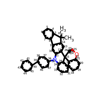 CC1(C)c2ccccc2-c2cc3c(cc21)C1(c2ccccc2Oc2ccccc21)c1ccccc1N3c1ccc(-c2ccccc2)cc1